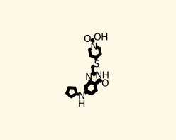 O=C(O)N1CCC(SCc2nc3cc(NC4CCCC4)ccc3c(=O)[nH]2)CC1